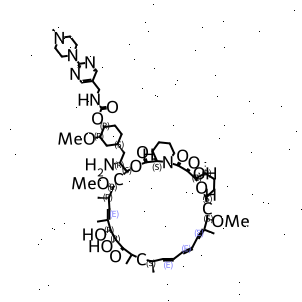 CO[C@H]1C[C@@H]2CC[C@@H](C)[C@@](O)(O2)C(=O)C(=O)N2CCCC[C@H]2C(=O)O[C@H]([C@H](N)C[C@@H]2CC[C@@H](OC(=O)NCc3cnc(N4CCN(C)CC4)nc3)[C@H](OC)C2)C[C@@H](OC)[C@H](C)/C=C(\C)[C@@H](O)[C@@H](O)C(=O)C(C)C[C@H](C)/C=C/C=C/C=C/1C